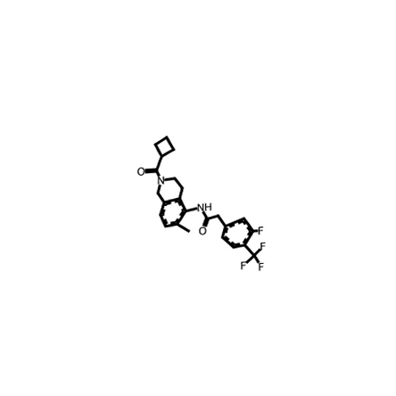 Cc1ccc2c(c1NC(=O)Cc1ccc(C(F)(F)F)c(F)c1)CCN(C(=O)C1CCC1)C2